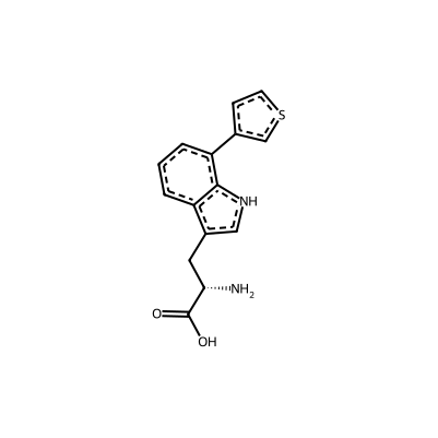 N[C@@H](Cc1c[nH]c2c(-c3ccsc3)cccc12)C(=O)O